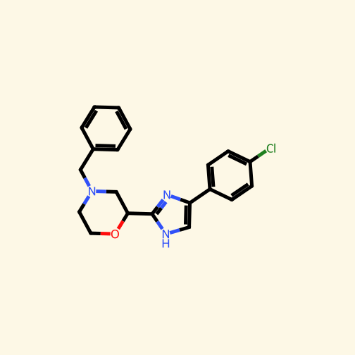 Clc1ccc(-c2c[nH]c(C3CN(Cc4ccccc4)CCO3)n2)cc1